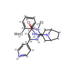 CCn1c(N2C3CCC2CC(Nc2ccccc2OC)C3)nc(-c2ccncc2)cc1=O